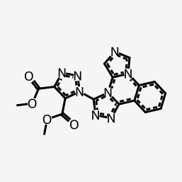 COC(=O)c1nnn(-c2nnc3c4ccccc4n4cncc4n23)c1C(=O)OC